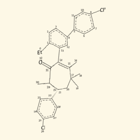 CCc1ccc(-c2ccc(Cl)cc2)cc1C1=C(C)C(C)(C)C[C@H](c2ccc(Cl)cc2)C(C)C1=O